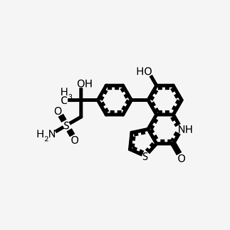 CC(O)(CS(N)(=O)=O)c1ccc(-c2c(O)ccc3[nH]c(=O)c4sccc4c23)cc1